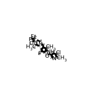 CCC(F)(F)C(=O)N1CCN(Cc2cc(F)cc(NC(=O)c3cnc(C)c(Cl)c3)c2C)C[C@@H]1C